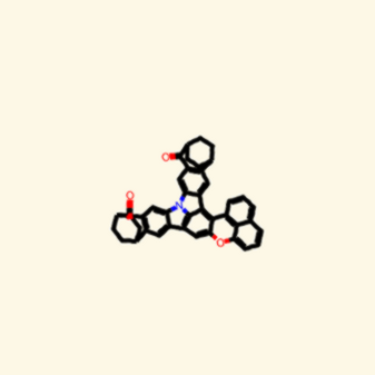 O=C1c2cc3c(cc2C2CCC1CC2)c1cc2oc4cccc5cccc(c54)c2c2c4cc5c(cc4n3c12)C(=O)C1CCC5CC1